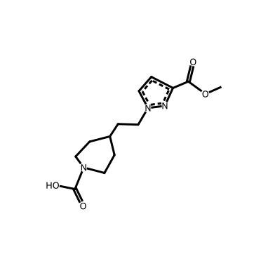 COC(=O)c1ccn(CCC2CCN(C(=O)O)CC2)n1